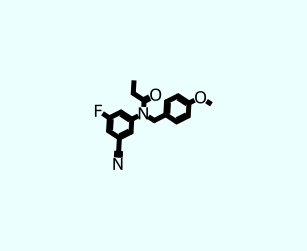 CCC(=O)N(Cc1ccc(OC)cc1)c1cc(F)cc(C#N)c1